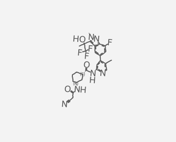 Cc1cnc(NC(=O)[C@H]2CCC[C@@H](NC(=O)CC#N)C2)cc1-c1cc(F)c2nn(C)c(C(C)(O)C(F)(F)F)c2c1